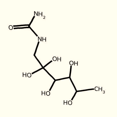 CC(O)C(O)C(O)C(O)(O)CNC(N)=O